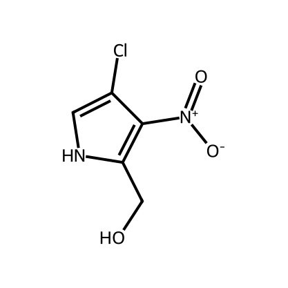 O=[N+]([O-])c1c(Cl)c[nH]c1CO